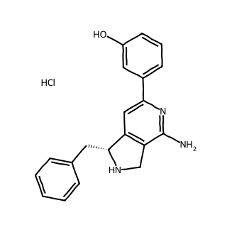 Cl.Nc1nc(-c2cccc(O)c2)cc2c1CN[C@@H]2Cc1ccccc1